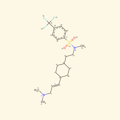 CN(C)C/C=C/C1CCC(CCN(C)S(=O)(=O)c2ccc(C(F)(F)F)cc2)CC1